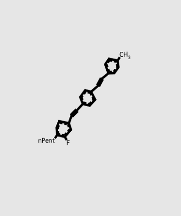 CCCCCc1ccc(C#Cc2ccc(C#Cc3ccc(C)cc3)cc2)cc1F